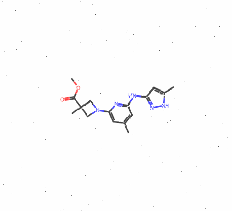 COC(=O)C1(C)CN(c2cc(C)cc(Nc3cc(C)[nH]n3)n2)C1